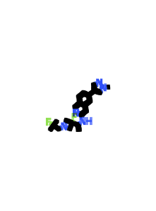 C=C(Nc1cc2cc(-c3cnn(C)c3)ccc2cn1)C1(F)CN(CC(C)(C)F)C1